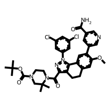 COc1cc2c(cc1-c1cncc(C(N)=O)c1)-c1c(c(C(=O)N3CCN(C(=O)OC(C)(C)C)CC3(C)C)nn1-c1cc(Cl)cc(Cl)c1)CC2